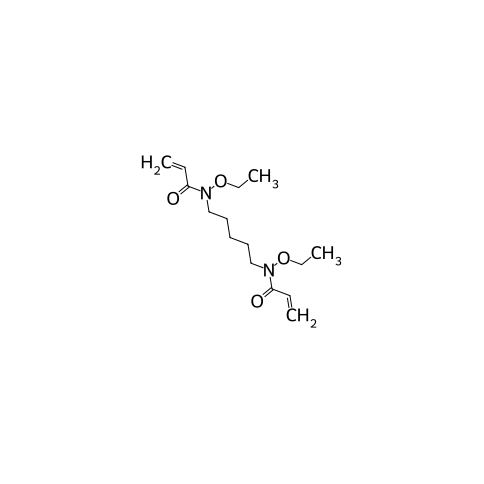 C=CC(=O)N(CCCCCN(OCC)C(=O)C=C)OCC